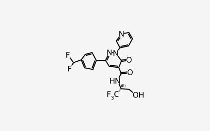 O=C(N[C@H](CO)C(F)(F)F)c1cc(-c2ccc(C(F)F)cc2)nn(-c2cccnc2)c1=O